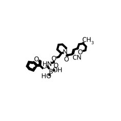 CC1CCOC(C=C(C#N)C(=O)N2CCCCC2COC(=O)N[C@@H](Cc2coc3ccccc23)B(O)O)C1